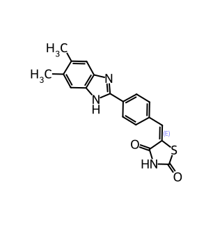 Cc1cc2nc(-c3ccc(/C=C4/SC(=O)NC4=O)cc3)[nH]c2cc1C